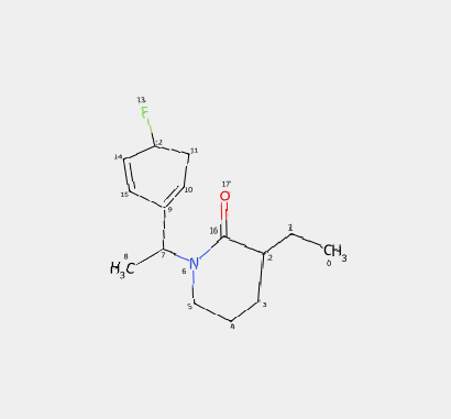 CCC1CCCN(C(C)C2=CCC(F)C=C2)C1=O